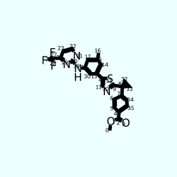 COC(=O)c1ccc(C2(c3ncc(-c4cc(C)cc(Nc5nccc(C(F)(F)F)n5)c4)s3)CC2)cc1